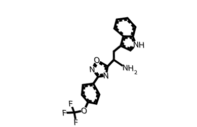 NC(Cc1c[nH]c2ccccc12)c1nc(-c2ccc(OC(F)(F)F)cc2)no1